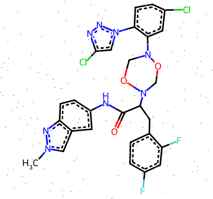 Cn1cc2cc(NC(=O)C(Cc3ccc(F)cc3F)N3CON(c4cc(Cl)ccc4-n4cc(Cl)nn4)CO3)ccc2n1